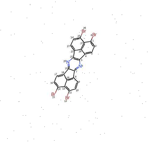 Brc1ccc2c3nc4c5ccc(Br)c6c(Br)ccc(c4nc3c3ccc(Br)c1c23)c65